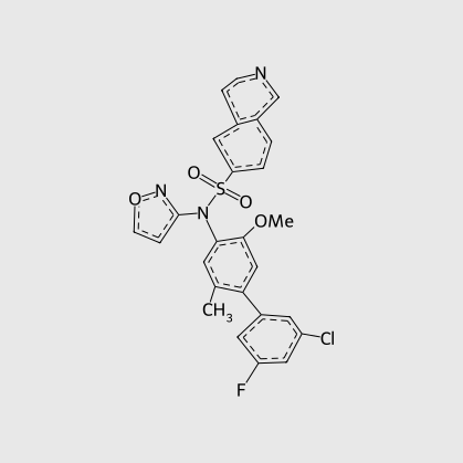 COc1cc(-c2cc(F)cc(Cl)c2)c(C)cc1N(c1ccon1)S(=O)(=O)c1ccc2cnccc2c1